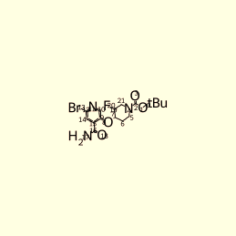 CC(C)(C)OC(=O)N1CC[C@H](Oc2cnc(Br)cc2C(N)=O)[C@@H](F)C1